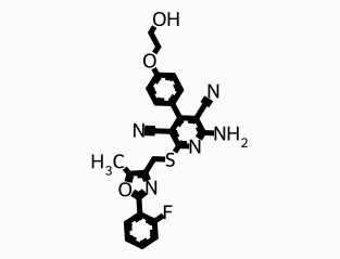 Cc1oc(-c2ccccc2F)nc1CSc1nc(N)c(C#N)c(-c2ccc(OCCO)cc2)c1C#N